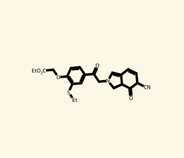 CCOC(=O)COc1ccc(C(=O)CN2C=C3C=CC(C#N)C(=O)C3C2)cc1SCC